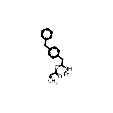 C=CC(=O)OC(Cc1ccc(Cc2ccccc2)cc1)NCC